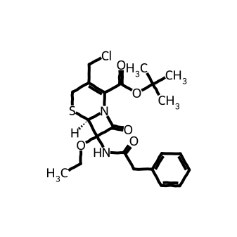 CCOC1(NC(=O)Cc2ccccc2)C(=O)N2C(C(=O)OC(C)(C)C)=C(CCl)CS[C@@H]21